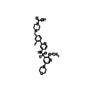 COc1ncc(N2CCOCC2)cc1S(=O)(=O)Nc1ccnc(-c2ccc(CN3CCN(C(=O)O)CC3)cc2F)c1